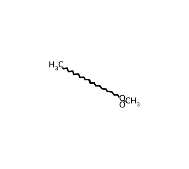 CCCCCCCCCC/C=C/CCCCCCCCCCOC(C)=O